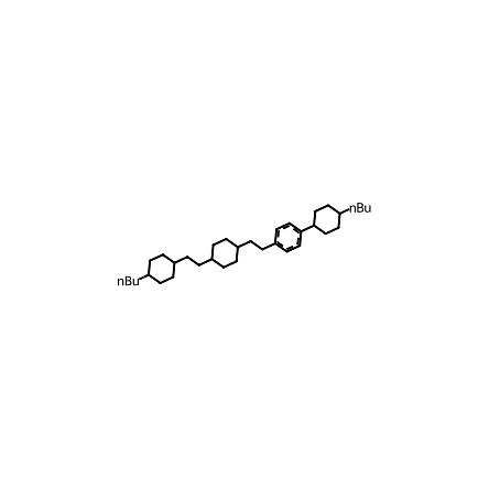 CCCCC1CCC(CCC2CCC(CCc3ccc(C4CCC(CCCC)CC4)cc3)CC2)CC1